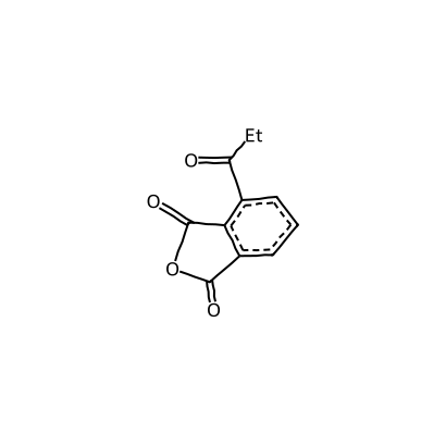 CCC(=O)c1cccc2c1C(=O)OC2=O